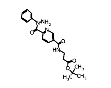 CC(C)(C)OC(=O)CCNC(=O)c1ccc(C(=O)N(N)c2ccccc2)nc1